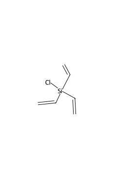 C=C[Si](Cl)(C=C)C=C